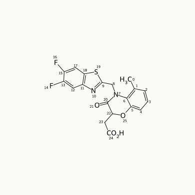 Cc1cccc2c1N(Cc1nc3cc(F)c(F)cc3s1)C(=O)C(CC(=O)O)O2